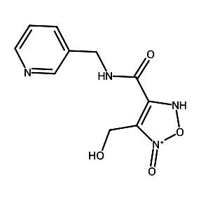 O=C(NCc1cccnc1)c1[nH]o[n+](=O)c1CO